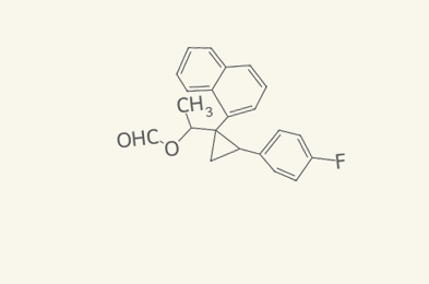 CC(OC=O)C1(c2cccc3ccccc23)CC1c1ccc(F)cc1